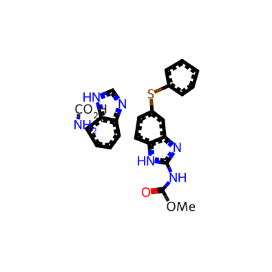 COC(=O)Nc1nc2cc(Sc3ccccc3)ccc2[nH]1.NC(=O)O.c1ccc2[nH]cnc2c1